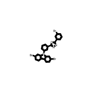 Brc1cccc(-c2nnc(-c3cccc(-n4c5cc(Br)ccc5c5ccc(Br)cc54)c3)o2)c1